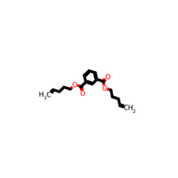 C=CCCCOC(=O)c1cccc(C(=O)OCCCC=C)c1